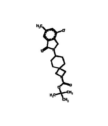 Cc1cc(Cl)c2c(c1)C(=O)N(C1CCC3(CC1)CN(C(=O)OC(C)(C)C)C3)C2